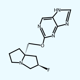 F[C@H]1CN2CCC[C@@]2(COc2ncc3[nH]cnc3n2)C1